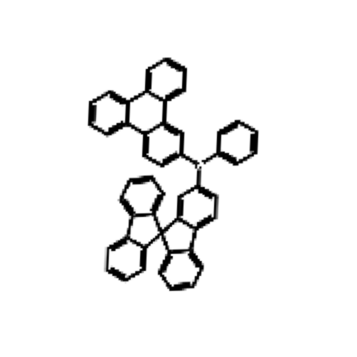 c1ccc(N(c2ccc3c(c2)C2(c4ccccc4-c4ccccc42)c2ccccc2-3)c2ccc3c4ccccc4c4ccccc4c3c2)cc1